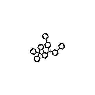 C1=CC(c2ccccc2)CC=C1N(c1cccc(-c2ccccc2)c1)c1cccc2c1-c1ccccc1C2(c1ccccc1)c1ccccc1